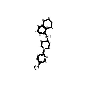 Nc1ccc(N2CCC(Nc3cccc4c3CCCC4)CC2)cc1